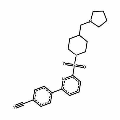 N#Cc1ccc(-c2cccc(S(=O)(=O)N3CCC(CN4CCCC4)CC3)n2)cc1